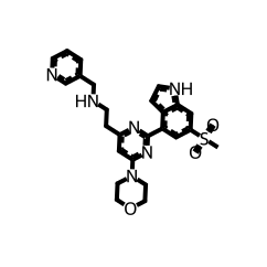 CS(=O)(=O)c1cc(-c2nc(CCNCc3cccnc3)cc(N3CCOCC3)n2)c2cc[nH]c2c1